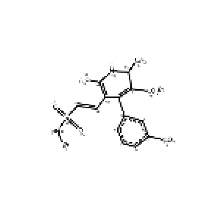 CCOC(=O)C1=C(c2cccc([N+](=O)[O-])c2)C(C=CS(=O)(=O)NC(C)C)=C(C)NC1C